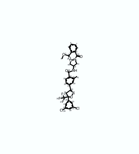 COC(=O)c1ccccc1C(=O)N1CC(NC(=O)c2ccc(C3=NOC(c4cc(Cl)cc(Cl)c4)(C(F)(F)F)C3)cc2C)CO1